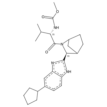 COC(=O)N[C@H](C(=O)N1C2CCC(C2)[C@H]1c1nc2cc(C3CCCC3)ccc2[nH]1)C(C)C